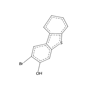 Oc1cc2sc3ccccc3c2cc1Br